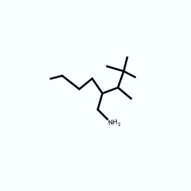 CCCCC(CN)C(C)C(C)(C)C